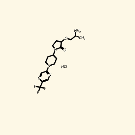 C[C@H](N)COC1CCN(C2CCN(c3cnc(C(F)(F)F)cn3)CC2)C1=O.Cl